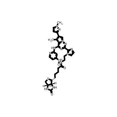 COc1ccnc(Nc2nc(-c3nccn3CCNC(=O)CCCC[C@H]3SC[C@H]4NC(=O)N[C@H]43)nn3cc(-c4ccn(C)n4)c(C)c23)c1